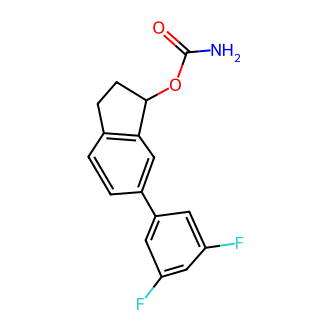 NC(=O)OC1CCc2ccc(-c3cc(F)cc(F)c3)cc21